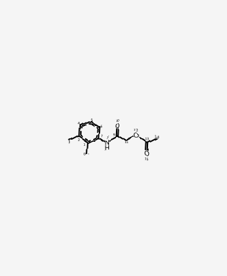 [CH2]c1c(C)cccc1NC(=O)COC(C)=O